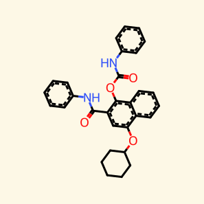 O=C(Nc1ccccc1)Oc1c(C(=O)Nc2ccccc2)cc(OC2CCCCC2)c2ccccc12